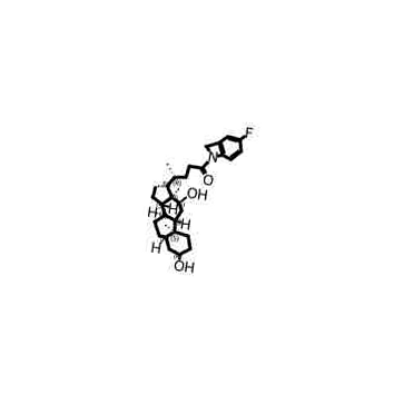 C[C@H](CCC(=O)N1Cc2cc(F)ccc21)[C@H]1CC[C@H]2[C@@H]3CC[C@@H]4C[C@H](O)CC[C@]4(C)[C@H]3C[C@H](O)[C@]12C